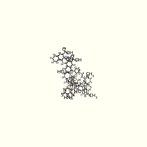 CN1CCCN=C1/C=C/c1cccs1.C[C@@H]1CC[C@@]2(NC1)O[C@H]1C[C@H]3[C@@H]4CC=C5C[C@@H](O)CC[C@]5(C)[C@H]4CC[C@]3(C)[C@H]1[C@@H]2C.O=C(O)c1cc2ccccc2c(Cc2c(O)c(C(=O)O)cc3ccccc23)c1O.S=c1nc[nH]c2nc[nH]c12